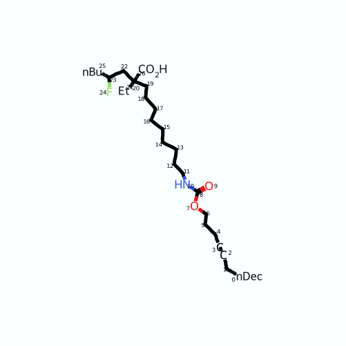 CCCCCCCCCCCCCCCCOC(=O)NCCCCCCCCCC(CC)(CC(F)CCCC)C(=O)O